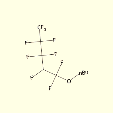 [CH2]CCCOC(F)(F)C(F)C(F)(F)C(F)(F)C(F)(F)F